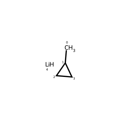 CC1CC1.[LiH]